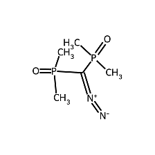 CP(C)(=O)C(=[N+]=[N-])P(C)(C)=O